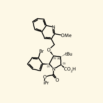 COc1nc2ccccc2cc1CO[C@H]1[C@H](C(C)(C)C)[C@@H](C(=O)O)N(C(=O)OC(C)C)[C@H]1c1ccccc1Br